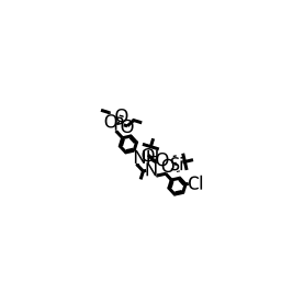 CCOP(=O)(Cc1ccc(NCC(C)N(CC(O[Si](C)(C)C(C)(C)C)c2cccc(Cl)c2)C(=O)OC(C)(C)C)cc1)OCC